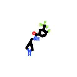 O=C(NCC1C2CNCC21)c1ccc(F)c(C(F)(F)F)c1